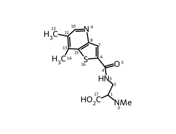 CNC(CNC(=O)c1cc2ncc(C)c(C)c2s1)C(=O)O